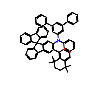 CC1(C)CCC(C)(C)c2c(-c3cc4c(cc3N(c3ccccc3)c3cc(-c5ccccc5)cc(-c5ccccc5)c3)C3(c5ccccc5-c5ccccc53)c3ccccc3-4)cccc21